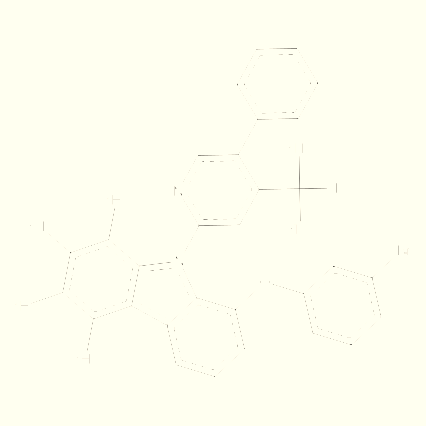 [2H]c1c([2H])c([2H])c2c(c1[2H])c1cccc(Oc3cccc(Br)c3)c1n2-c1cc(C([2H])([2H])[2H])c(-c2ccccc2)cn1